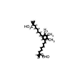 Cc1c(CCCCCCC2(OC=O)CC2)cc(CCCCCCC2(C(=O)O)CC2)c(C)c1C